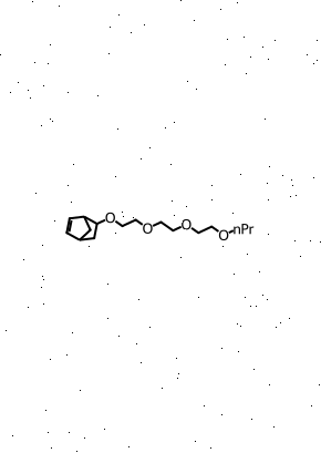 CCCOCCOCCOCCOC1CC2C=CC1C2